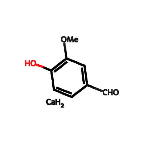 COc1cc(C=O)ccc1O.[CaH2]